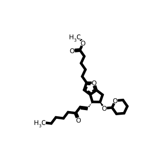 CCCCCC(=O)C=C[C@@H]1c2cc(CCCCC(=O)OC)oc2C[C@H]1OC1CCCCO1